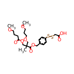 COCCCOCC(C)(COC(=O)CCCOC)C(=O)OCc1ccc(SSCC(=O)O)cc1